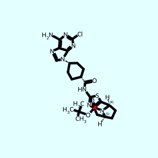 CC(C)(C)OC(=O)N1[C@H]2CC[C@@H]1c1sc(NC(=O)[C@H]3CC[C@@H](n4cnc5c(N)nc(Cl)nc54)CC3)nc1C2